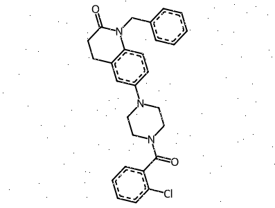 O=C(c1ccccc1Cl)N1CCN(c2ccc3c(c2)CCC(=O)N3Cc2ccccc2)CC1